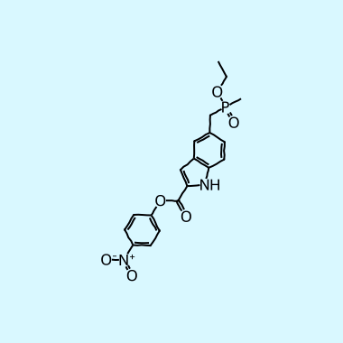 CCOP(C)(=O)Cc1ccc2[nH]c(C(=O)Oc3ccc([N+](=O)[O-])cc3)cc2c1